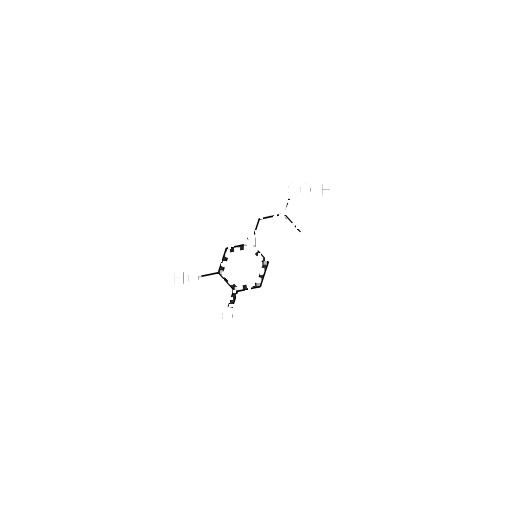 C[C@@H](Cn1ccc(=O)c(O)c1)C(=O)O